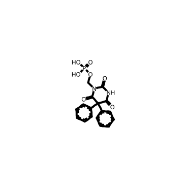 O=C1NC(=O)C(c2ccccc2)(c2ccccc2)C(=O)N1COP(=O)(O)O